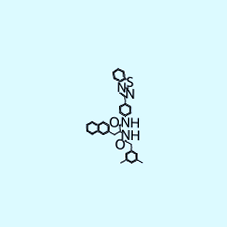 Cc1cc(C)cc(CC(=O)NC(Cc2ccc3ccccc3c2)C(=O)Nc2ccc(-c3cn4c(n3)sc3ccccc34)cc2)c1